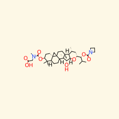 CC(C)[C@@H](OC(=O)N1CCC1)[C@H]1C[C@@H](C)[C@H]2[C@H](O1)[C@H](O)[C@@]1(C)[C@@H]3CC[C@H]4C(C)(C)[C@@H](OC(=O)N(C)CC(=O)O)CC[C@@]45C[C@@]35CC[C@]21C